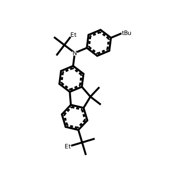 CCC(C)(C)c1ccc2c(c1)C(C)(C)c1cc(N(c3ccc(C(C)(C)C)cc3)C(C)(C)CC)ccc1-2